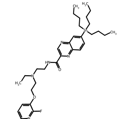 CCC[CH2][Sn]([CH2]CCC)([CH2]CCC)[c]1ccc2nc(C(=O)NCCN(CC)CCOc3cccnc3F)cnc2c1